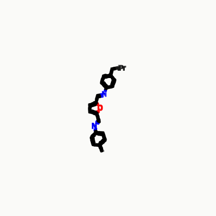 Cc1ccc(N=Cc2ccc(C=Nc3ccc(CC(C)C)cc3)o2)cc1